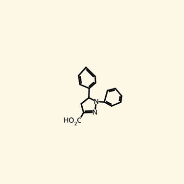 O=C(O)C1=NN(c2ccccc2)C(c2ccccc2)C1